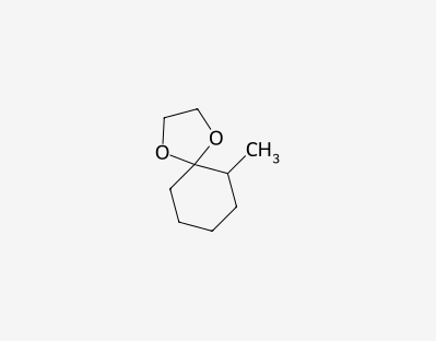 CC1CCCCC12OCCO2